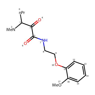 CCCC(NC)C(=O)C(=O)NCCOc1ccccc1OC